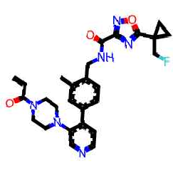 C=CC(=O)N1CCN(c2cnccc2-c2ccc(CNC(=O)c3noc(C4(CF)CC4)n3)c(C)c2)CC1